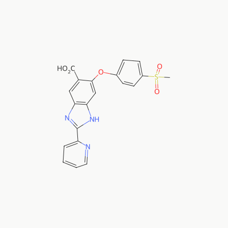 CS(=O)(=O)c1ccc(Oc2cc3[nH]c(-c4ccccn4)nc3cc2C(=O)O)cc1